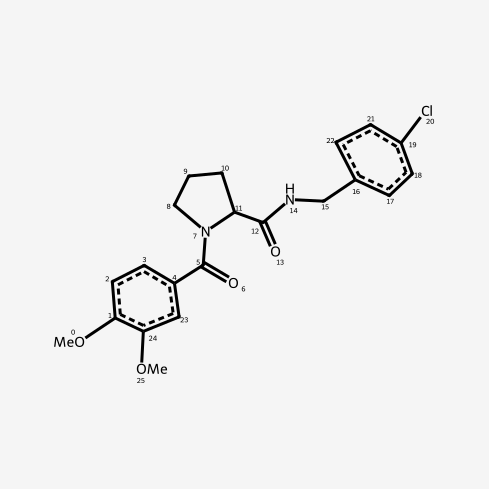 COc1ccc(C(=O)N2CCCC2C(=O)NCc2ccc(Cl)cc2)cc1OC